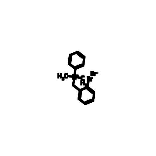 C[N+](C)(Cc1ccccc1Br)c1ccccc1.[Br-]